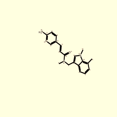 Cc1cccc2c(CN(C)C(=O)C=Cc3ccc(N)nc3)cn(C)c12